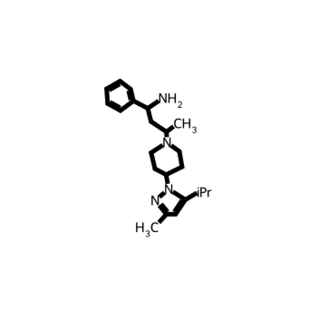 Cc1cc(C(C)C)n(C2CCN(C(C)CC(N)c3ccccc3)CC2)n1